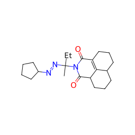 CCC(C)(N=NC1CCCC1)N1C(=O)C2=C3C(CCC2)CCCC3C1=O